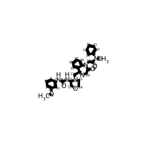 COc1cccc(NC(=O)NC2COCCN2CC2=NCC(=O)N(CC(=O)N(C)c3ccccc3)c3ccccc32)c1